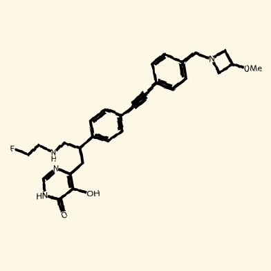 COC1CN(Cc2ccc(C#Cc3ccc(C(CNCCF)Cc4nc[nH]c(=O)c4O)cc3)cc2)C1